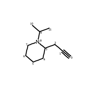 C#CCC1CCCCN1C(C)C